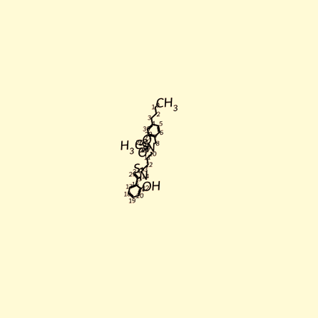 CCCCc1ccc(CN(CCCc2nc(-c3ccccc3O)cs2)S(C)(=O)=O)cc1